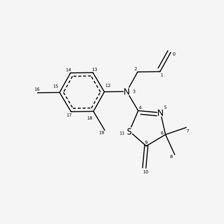 C=CCN(C1=NC(C)(C)C(=C)S1)c1ccc(C)cc1C